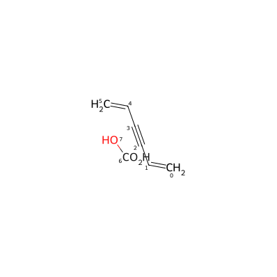 C=CC#CC=C.O=C(O)O